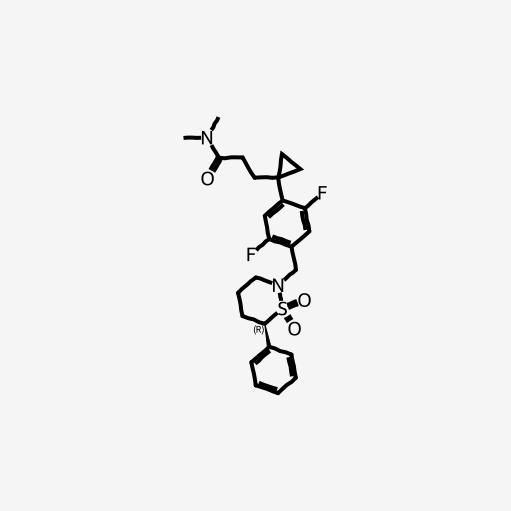 CN(C)C(=O)CCC1(c2cc(F)c(CN3CCC[C@H](c4ccccc4)S3(=O)=O)cc2F)CC1